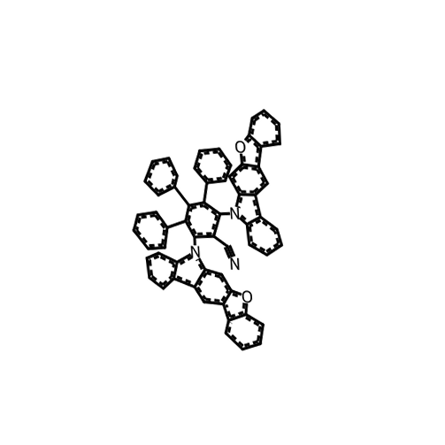 N#Cc1c(-n2c3ccccc3c3cc4c(cc32)oc2ccccc24)c(-c2ccccc2)c(-c2ccccc2)c(-c2ccccc2)c1-n1c2ccccc2c2cc3c(cc21)oc1ccccc13